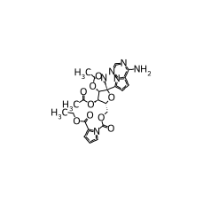 CCOC(=O)c1cccn1C(=O)OC[C@H]1O[C@@](C#N)(c2ccc3c(N)ncnn23)[C@H](OC(C)=O)[C@@H]1OC(C)=O